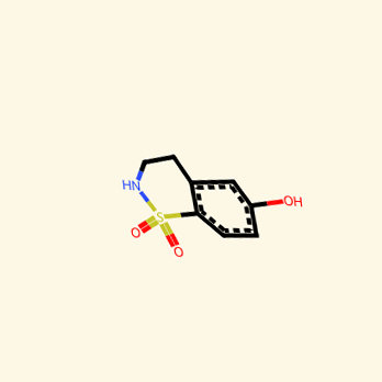 O=S1(=O)NCCc2cc(O)ccc21